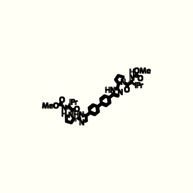 COC(=O)N[C@H](C(=O)N1CCCC1c1ncc(-c2ccc(-c3ccc(C4CN=C([C@@H]5CCCN5C(=O)[C@@H](NC(=O)OC)C(C)C)N4)cc3)cc2)[nH]1)C(C)C